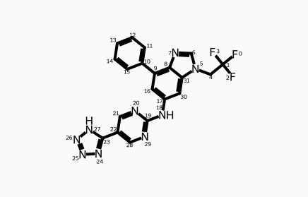 FC(F)(F)Cn1cnc2c(-c3ccccc3)cc(Nc3ncc(-c4nnn[nH]4)cn3)cc21